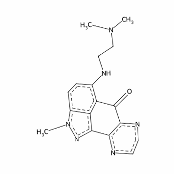 CN(C)CCNc1ccc2c3c(nn2C)-c2nccnc2C(=O)c13